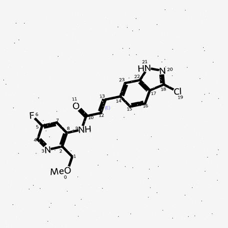 COCc1ncc(F)cc1NC(=O)/C=C/c1ccc2c(Cl)n[nH]c2c1